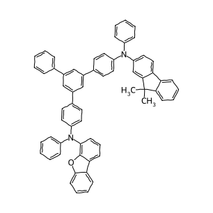 CC1(C)c2ccccc2-c2ccc(N(c3ccccc3)c3ccc(-c4cc(-c5ccccc5)cc(-c5ccc(N(c6ccccc6)c6cccc7c6oc6ccccc67)cc5)c4)cc3)cc21